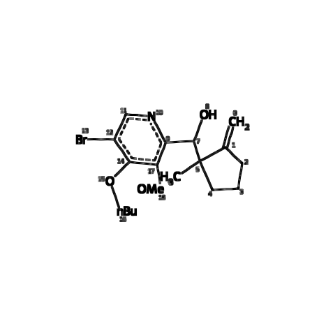 C=C1CCCC1(C)C(O)c1ncc(Br)c(OCCCC)c1OC